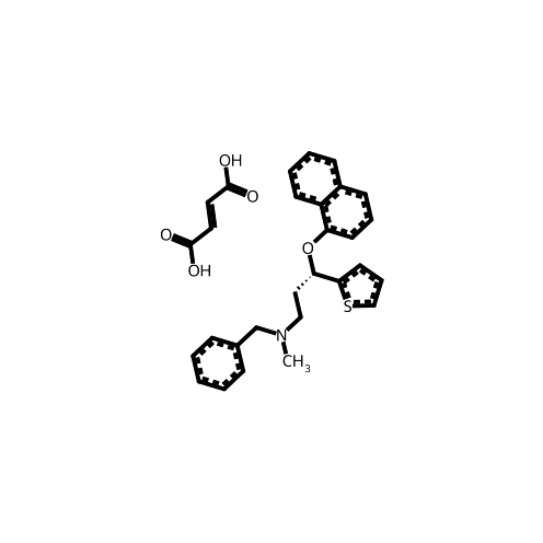 CN(CC[C@H](Oc1cccc2ccccc12)c1cccs1)Cc1ccccc1.O=C(O)C=CC(=O)O